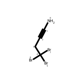 NC#CCC(Br)(Br)Br